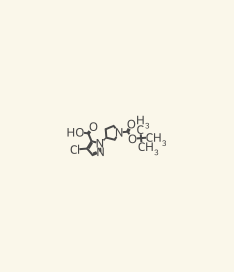 CC(C)(C)OC(=O)N1CC[C@H](n2ncc(Cl)c2C(=O)O)C1